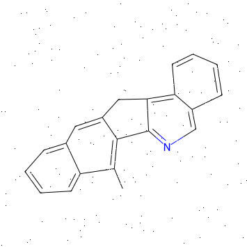 Cc1c2c(cc3ccccc13)Cc1c-2ncc2ccccc12